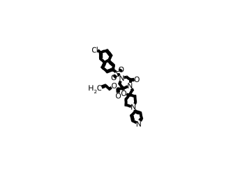 C=CCOC(=O)C12CN(S(=O)(=O)c3ccc4cc(Cl)ccc4c3)CC(=O)N1CC1(CCN(c3ccncc3)CC1)O2